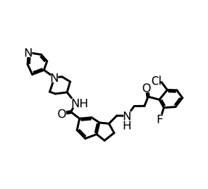 O=C(NC1CCN(c2ccncc2)CC1)c1ccc2c(c1)C(CNCCC(=O)c1c(F)cccc1Cl)CC2